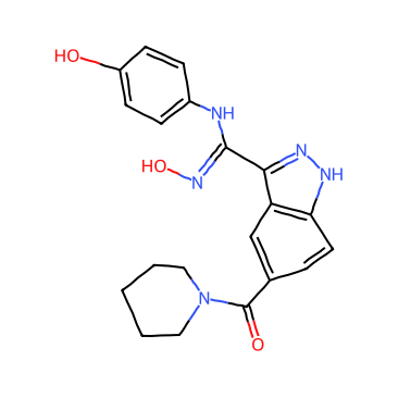 O=C(c1ccc2[nH]nc(C(=NO)Nc3ccc(O)cc3)c2c1)N1CCCCC1